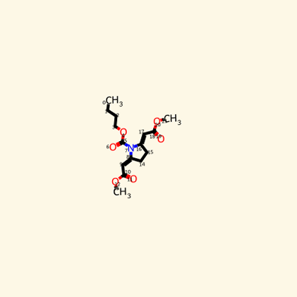 CCCCOC(=O)N1/C(=C/C(=O)OC)CC/C1=C\C(=O)OC